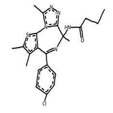 CCCC(=O)NC1(C)N=C(c2ccc(Cl)cc2)c2c(sc(C)c2C)-n2c(C)nnc21